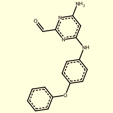 Nc1cc(Nc2ccc(Oc3ccccc3)cc2)nc(C=O)n1